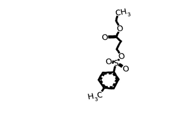 CCOC(=O)CCOS(=O)(=O)c1ccc(C)cc1